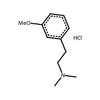 COc1cccc(CCN(C)C)c1.Cl